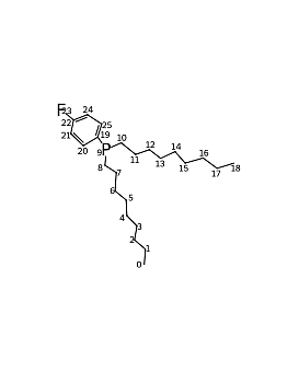 CCCCCCCCCP(CCCCCCCCC)c1ccc(F)cc1